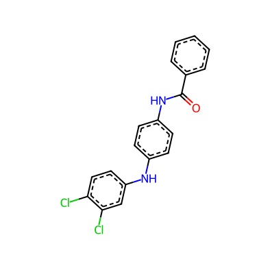 O=C(Nc1ccc(Nc2ccc(Cl)c(Cl)c2)cc1)c1ccccc1